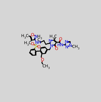 CCCCc1nc(C)c(C(=O)Nc2ncn(C)n2)c(=O)n1Cc1ccc(-c2ccccc2S(=O)(=O)Nc2noc(C)c2C)c(COCC)c1